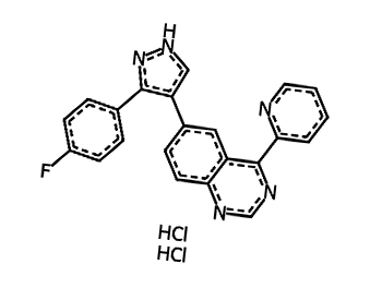 Cl.Cl.Fc1ccc(-c2n[nH]cc2-c2ccc3ncnc(-c4ccccn4)c3c2)cc1